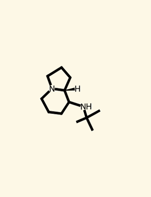 CC(C)(C)NC1CCCN2CCC[C@H]12